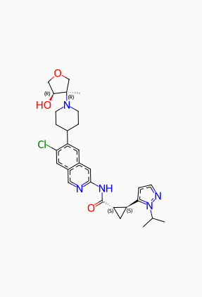 CC(C)n1nccc1[C@H]1C[C@@H]1C(=O)Nc1cc2cc(C3CCN([C@]4(C)COC[C@@H]4O)CC3)c(Cl)cc2cn1